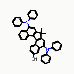 CC1(C)c2cc(N(c3ccccc3)c3ccccc3)c3ccccc3c2-c2c1cc(N(c1ccccc1)c1ccccc1)c1cc(C#N)ccc21